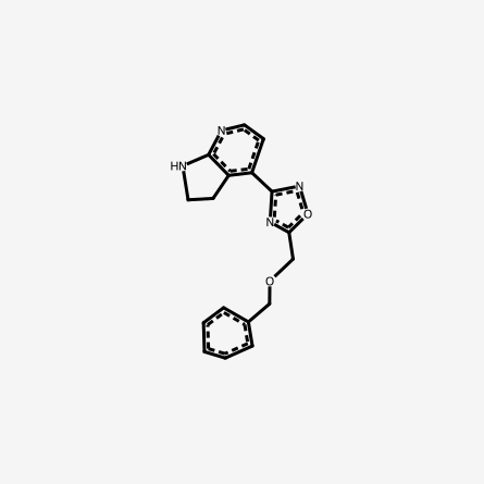 c1ccc(COCc2nc(-c3ccnc4c3CCN4)no2)cc1